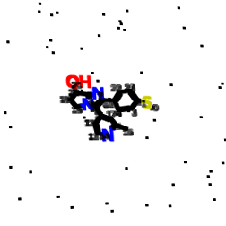 CSc1ccc(-c2nc3n(c2-c2ccnc(C)c2)CCC3O)cc1